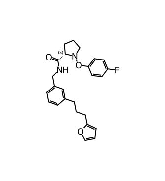 O=C(NCc1cccc(CCCc2ccco2)c1)[C@@H]1CCCN1Oc1ccc(F)cc1